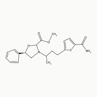 COC(=O)C1O[C@H](c2ccccc2)CN1C(C)CCc1ccc(C(N)=O)s1